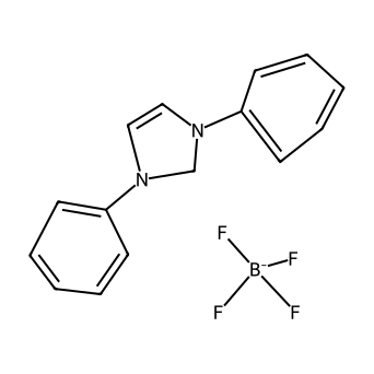 C1=CN(c2ccccc2)CN1c1ccccc1.F[B-](F)(F)F